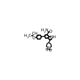 CC(C)Oc1ccc(-c2cc(C(N)=O)c3[nH]cc(C4CCS(=O)(=O)CC4)c3c2)cc1